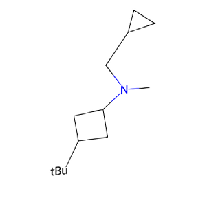 CN(CC1CC1)C1CC(C(C)(C)C)C1